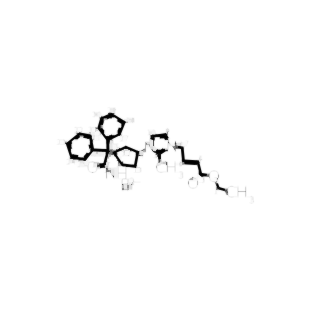 CCOC(=O)C=CC[n+]1ccn([C@H]2CC[C@@H](C(C(N)=O)(c3ccccc3)c3ccccc3)C2)c1C.[Br-]